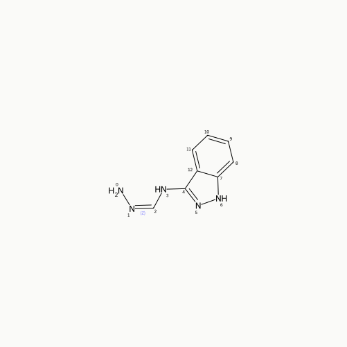 N/N=C\Nc1n[nH]c2ccccc12